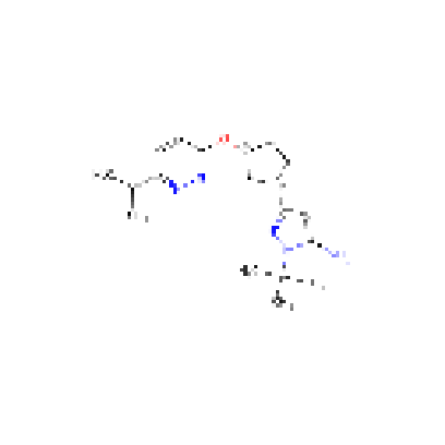 CC(C)c1ccc(O[C@@H]2CC[C@H](c3cc(N)n(C(C)(C)C)n3)C2)nn1